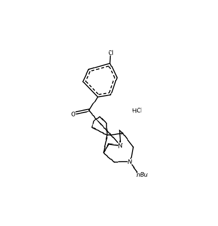 CCCCN1CC2CN(C(=O)c3ccc(Cl)cc3)CC(C1)C21CCCC1.Cl